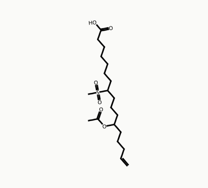 C=CCCCC(CCCC(CCCCCCC(=O)O)S(C)(=O)=O)OC(C)=O